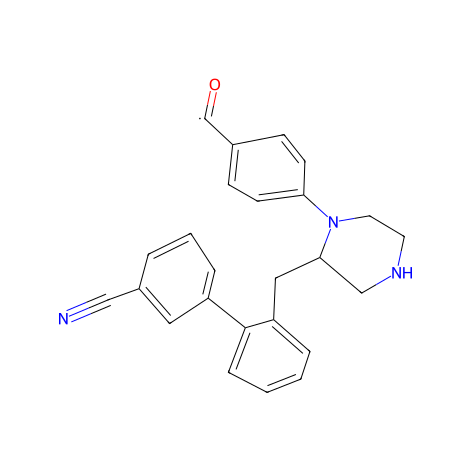 N#Cc1cccc(-c2ccccc2CC2CNCCN2c2ccc([C]=O)cc2)c1